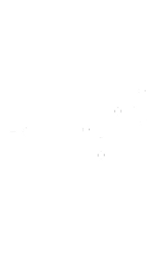 C/C=C/COC(=O)C1COC(=O)O1